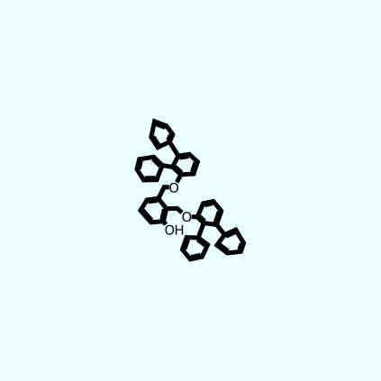 Oc1cccc(COc2cccc(-c3ccccc3)c2-c2ccccc2)c1COc1cccc(-c2ccccc2)c1-c1ccccc1